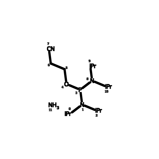 CC(C)N(C(C)C)P(OCCC#N)N(C(C)C)C(C)C.N